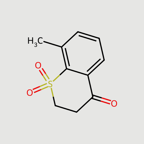 Cc1cccc2c1S(=O)(=O)CCC2=O